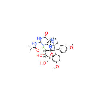 COc1ccc(C(c2ccccc2)(c2ccc(OC)cc2)[C@@]2(n3cnc4c(=O)[nH]c(NC(=O)C(C)C)nc43)O[C@H](CO)[C@@H](O)[C@H]2F)cc1